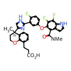 CNC(=O)c1c(Oc2ccc(F)c(-c3nc([C@@]4(C)CCOc5c(CCC(=O)O)cccc54)c[nH]3)c2)c(F)c(F)c2[nH]ccc12